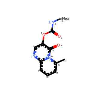 CCCCCCNC(=O)Oc1cnc2cccc(C)n2c1=O